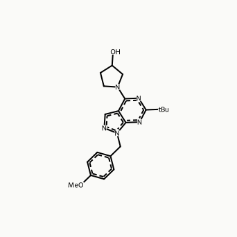 COc1ccc(Cn2ncc3c(N4CCC(O)C4)nc(C(C)(C)C)nc32)cc1